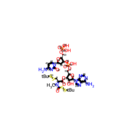 CN(C(=O)SSC(C)(C)C)[C@@H](CSSC(C)(C)C)C(=O)O[C@H]1[C@@H](O)[C@H](n2cnc3c(N)ncnc32)O[C@@H]1COP(=O)(O)O[C@H]1C[C@H](n2ccc(N)nc2=O)O[C@@H]1COP(=O)(O)O